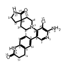 Nc1ncc(-c2ccc3c(c2)CCC(=O)N3)c(N2CCC3(CCNC3=O)CC2)c1Cl